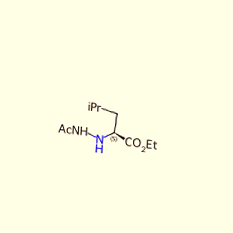 CCOC(=O)[C@H](CC(C)C)NNC(C)=O